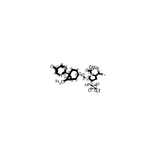 CCS(=O)(=O)N[C@H]1CC(C(F)F)N(C(=O)OC)[C@H]1CO[C@H]1CC[C@@]2(c3ncc(Cl)cn3)C(C)C2C1